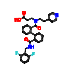 O=C(O)CCN(CCc1ccncc1)C(=O)c1ccccc1-c1ccccc1C(=O)NCc1c(F)cccc1F